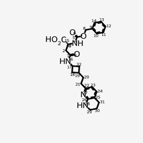 O=C(C[C@H](NC(=O)OCc1ccccc1)C(=O)O)NC1CC(CCc2ccc3c(n2)NCCC3)C1